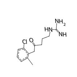 Cc1cccc(Cl)c1CC(=O)CCCNC(=N)N